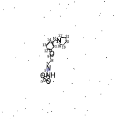 CS(=O)(=O)N/C=N/CCCOc1cccc(CN2CCCCC2)c1